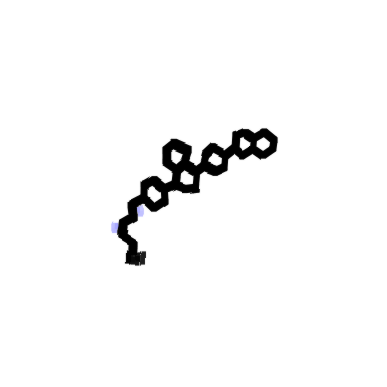 N=C/C=C\C=C\C1CC=C(C2CCC(C3=CCC(C4=CC=C5CCCCC5C4)CC3)=C3C=CC=CC32)CC1